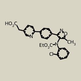 CCOC(=O)N(c1ccccc1Cl)c1c(-c2ccc(-c3ccc(CC(=O)O)cn3)cc2)noc1C